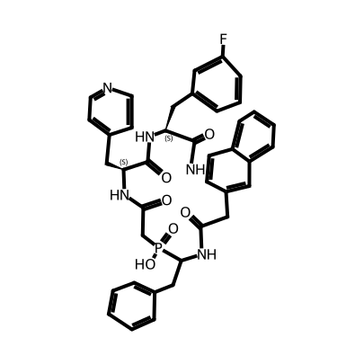 NC(=O)[C@H](Cc1cccc(F)c1)NC(=O)[C@H](Cc1ccncc1)NC(=O)CP(=O)(O)C(Cc1ccccc1)NC(=O)Cc1ccc2ccccc2c1